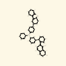 c1ccc(N(c2ccc(-c3ccc4sc5ccccc5c4c3)cc2)c2cccc(-c3cccc4oc5c6ccccc6ccc5c34)c2)cc1